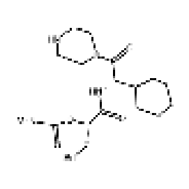 CNC(=O)O[C@@H](CC(C)(C)C)C(=O)N[C@H](C(=O)N1CCNCC1)C1CCCCC1